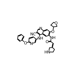 N#Cc1cnc2cc(OC3CCOC3)c(NC(=O)/C=C3/CCNC3)cc2c1Nc1ccc(Oc2ccccc2)nc1